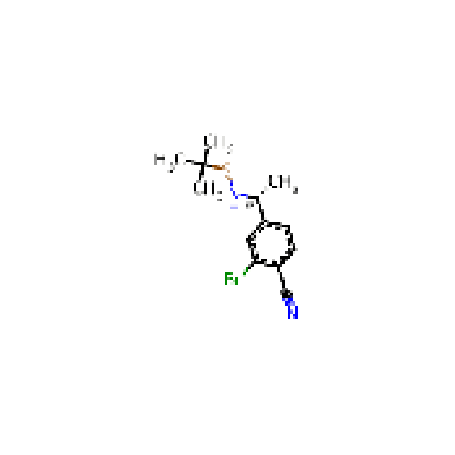 C[C@@H](NSC(C)(C)C)c1ccc(C#N)c(Br)c1